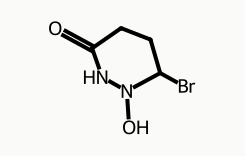 O=C1CCC(Br)N(O)N1